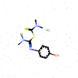 CCN(C)C(=Nc1ccc(O)cc1)SC(=S)N(C)C.Cl